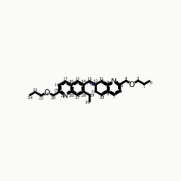 CCCOCc1ccc2c(n1)=C/C(=C/c1cc3ccc(COCCC)nc3cc1CC)CC=2